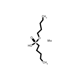 CCCCCOP(=O)(O)CCCCC.[Mo]